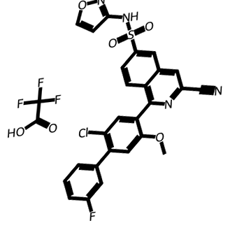 COc1cc(-c2cccc(F)c2)c(Cl)cc1-c1nc(C#N)cc2cc(S(=O)(=O)Nc3ccon3)ccc12.O=C(O)C(F)(F)F